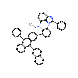 CCN1c2c(-c3ccc4c(-c5ccccc5)c5ccccc5c(-c5ccc6ccccc6c5)c4c3)cccc2-n2c(-c3ccccc3)nc3cccc1c32